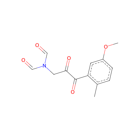 COc1ccc(C)c(C(=O)C(=O)CN(C=O)C=O)c1